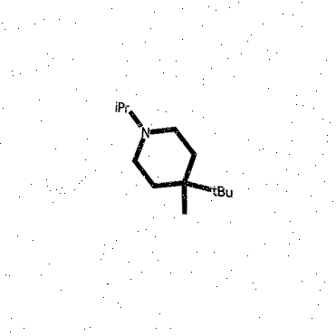 CC(C)N1CCC(C)(C(C)(C)C)CC1